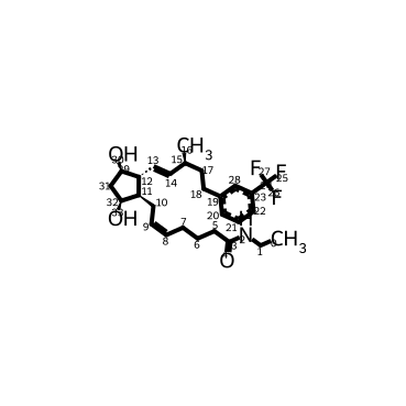 CCNC(=O)CCC/C=C\C[C@@H]1[C@@H](/C=C/[C@@H](C)CCc2cccc(C(F)(F)F)c2)[C@H](O)C[C@@H]1O